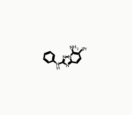 CC(C)c1ccc2nc(Nc3ccccc3)nn2c1N